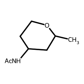 CC(=O)NC1CCOC(C)C1